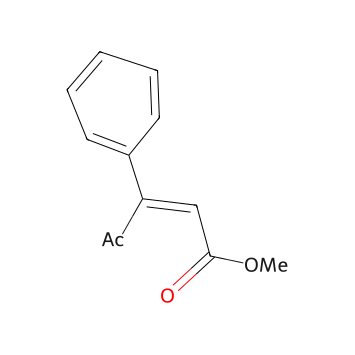 COC(=O)C=C(C(C)=O)c1ccccc1